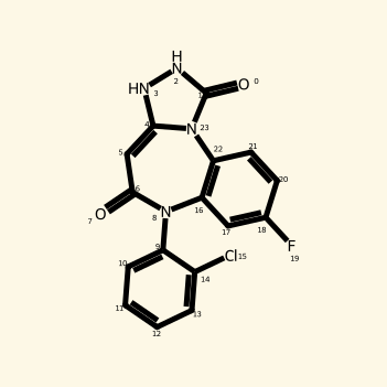 O=C1NNC2=CC(=O)N(c3ccccc3Cl)c3cc(F)ccc3N12